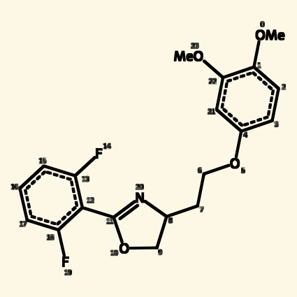 COc1ccc(OCCC2COC(c3c(F)cccc3F)=N2)cc1OC